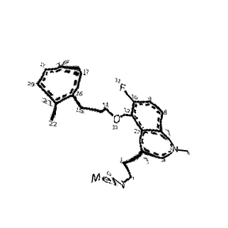 CNCCc1cn(C)c2ccc(F)c(OCCc3ccccc3C)c12